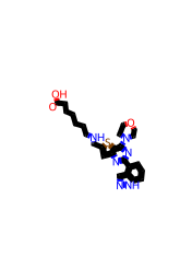 O=C(O)CCCCCCNCc1cc2nc(-c3cccc4[nH]ncc34)nc(N3CCOCC3)c2s1